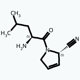 CC(C)C[C@H](N)C(=O)N1CC=C[C@H]1C#N